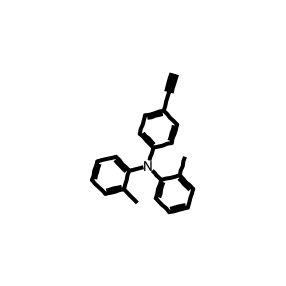 C#Cc1ccc(N(c2ccccc2C)c2ccccc2C)cc1